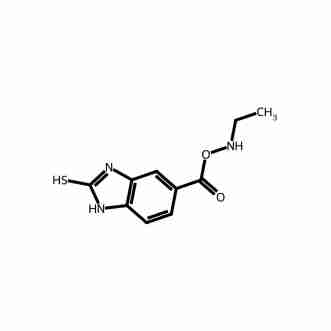 CCNOC(=O)c1ccc2[nH]c(S)nc2c1